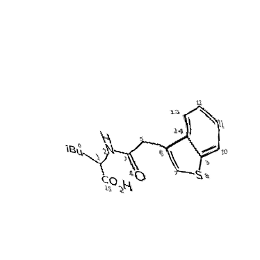 CCC(C)C(NC(=O)Cc1csc2ccccc12)C(=O)O